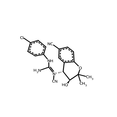 CC1(C)Oc2ccc(C#N)cc2[C@@H]([N+](C#N)=C(N)Nc2ccc(Cl)cc2)[C@@H]1O